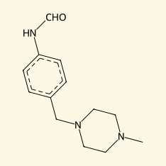 CN1CCN(Cc2ccc(NC=O)cc2)CC1